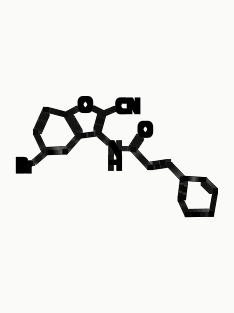 N#Cc1oc2ccc(Br)cc2c1NC(=O)/C=C/c1ccccc1